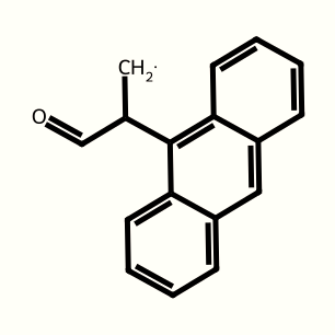 [CH2]C(C=O)c1c2ccccc2cc2ccccc12